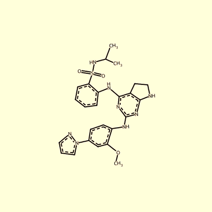 COc1cc(-n2cccn2)ccc1Nc1nc2c(c(Nc3ccccc3S(=O)(=O)NC(C)C)n1)CCN2